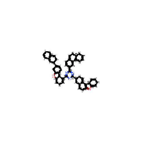 c1ccc2cc(-c3ccc4c(c3)oc3cccc(-c5nc(-c6ccc7c(ccc8oc9ccccc9c87)c6)nc(-c6ccc7ccc8ccccc8c7c6)n5)c34)ccc2c1